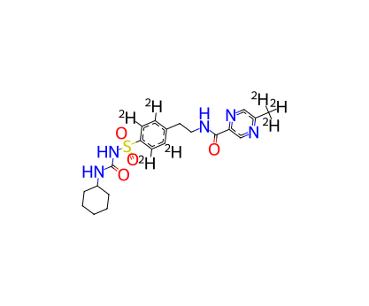 [2H]c1c([2H])c(S(=O)(=O)NC(=O)NC2CCCCC2)c([2H])c([2H])c1CCNC(=O)c1cnc(C([2H])([2H])[2H])cn1